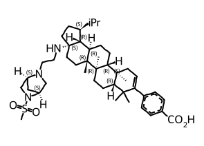 CC(C)[C@@H]1CC[C@]2(NCCN3C[C@@H]4C[C@H]3CN4S(C)(=O)=O)CC[C@]3(C)[C@H](CC[C@@H]4[C@@]5(C)CC=C(c6ccc(C(=O)O)cc6)C(C)(C)[C@@H]5CC[C@]43C)[C@@H]12